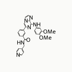 COc1ccc(Nc2nc(-c3cccc(C(=O)NCc4ccncc4)c3)cn3ccnc23)cc1OC